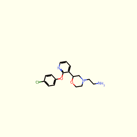 NCCN1CCOC(c2cccnc2Oc2ccc(Cl)cc2)C1